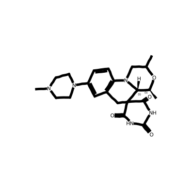 CC1CN2c3ccc(N4CCN(C)CC4)cc3CC3(C(=O)NC(=O)NC3=O)[C@H]2[C@H](C)O1